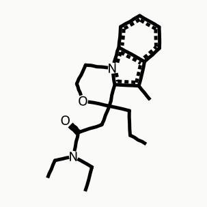 CCCC1(CC(=O)N(CC)CC)OCCn2c1c(C)c1ccccc12